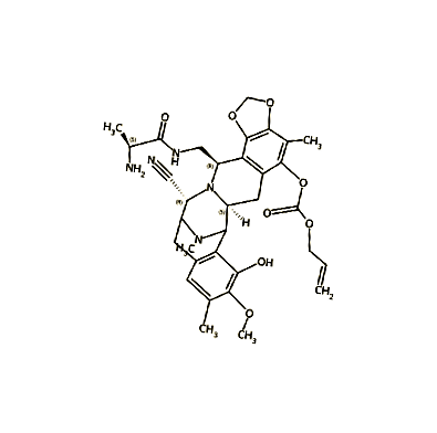 C=CCOC(=O)Oc1c(C)c2c(c3c1C[C@H]1C4c5c(cc(C)c(OC)c5O)CC([C@H](C#N)N1[C@H]3CNC(=O)[C@H](C)N)N4C)OCO2